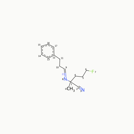 CC(C#N)(CCCF)/N=C/CCc1ccccc1